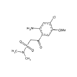 COc1cc(C(=O)CS(=O)(=O)N(C)C)c(N)cc1Cl